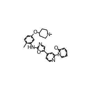 Cc1ccc(OC2CCN(C)CC2)cc1Nc1ncc(-c2ccnc(-n3ccccc3=O)c2)o1